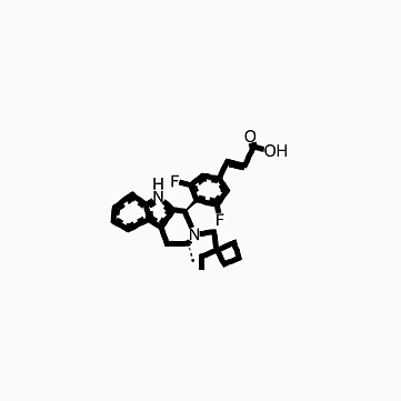 CCC1(CN2[C@H](c3c(F)cc(/C=C/C(=O)O)cc3F)c3[nH]c4ccccc4c3C[C@H]2C)CCC1